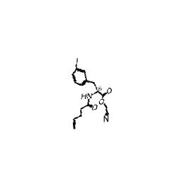 C=CCCC(=O)N[C@@H](Cc1cccc(I)c1)C(=O)OCC#N